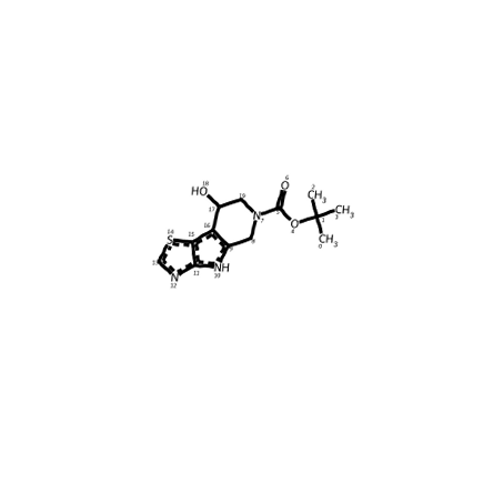 CC(C)(C)OC(=O)N1Cc2[nH]c3ncsc3c2C(O)C1